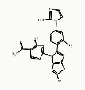 CCCc1cc(-n2c(-c3ccc(-n4ccnc4C)cc3C)cc3sc(C(C)=O)cc32)ccc1C(N)=O